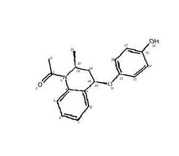 CC(=O)N1c2ccccc2[C@H](Oc2ccc(O)cc2)C[C@@H]1C